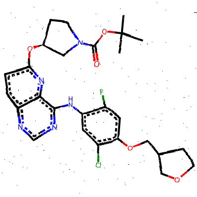 CC(C)(C)OC(=O)N1CC[C@H](Oc2ccc3ncnc(Nc4cc(Cl)c(OCC5CCOC5)cc4F)c3n2)C1